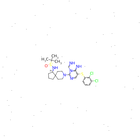 CC(C)(C)[S+]([O-])N[C@@H]1CCCC12CCN(c1ncc(Sc3cccc(Cl)c3Cl)c(=N)n1C=N)CC2